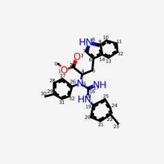 COC(=O)C(Cc1c[nH]c2ccccc12)N(C(=N)Nc1ccc(C)cc1)c1ccc(C)cc1